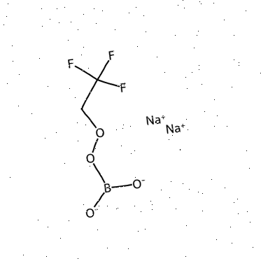 [Na+].[Na+].[O-]B([O-])OOCC(F)(F)F